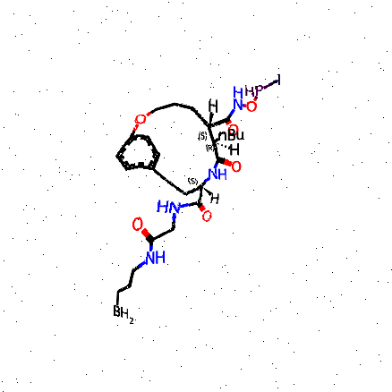 BCCCNC(=O)CNC(=O)[C@@H]1Cc2ccc(cc2)OCCC[C@H](C(=O)NOPI)[C@@H](CCCC)C(=O)N1